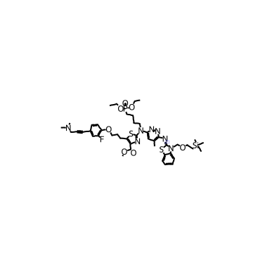 CCOP(=O)(CCCCN(c1cc(C)c(/N=c2\sc3ccccc3n2COCC[Si](C)(C)C)nn1)c1nc(C(=O)OC)c(CCCOc2ccc(C#CCN(C)C)cc2F)s1)OCC